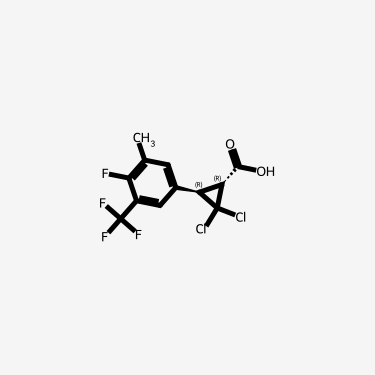 Cc1cc([C@H]2[C@H](C(=O)O)C2(Cl)Cl)cc(C(F)(F)F)c1F